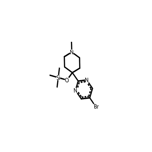 CN1CCC(O[Si](C)(C)C)(c2ncc(Br)cn2)CC1